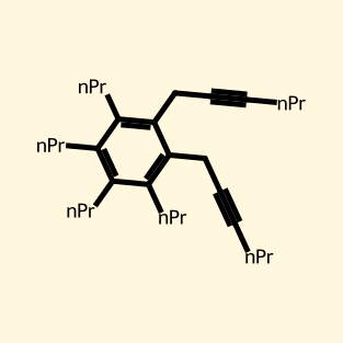 CCCC#CCc1c(CC#CCCC)c(CCC)c(CCC)c(CCC)c1CCC